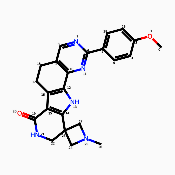 COc1ccc(-c2ncc3c(n2)-c2[nH]c4c(c2CC3)C(=O)NCC42CN(C)C2)cc1